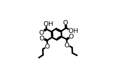 CCCOC(=O)c1cc(C(=O)OCCC)c(C(=O)O)cc1C(=O)O